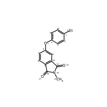 CCc1ccc(Oc2ccc3c(c2)C(=O)N(C)C3=O)cc1